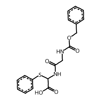 O=C(CNC(=O)OCc1ccccc1)NC(Sc1ccccc1)C(=O)O